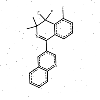 CC1(C)N=C(c2cnc3ccccc3c2)c2cccc(F)c2C1(F)F